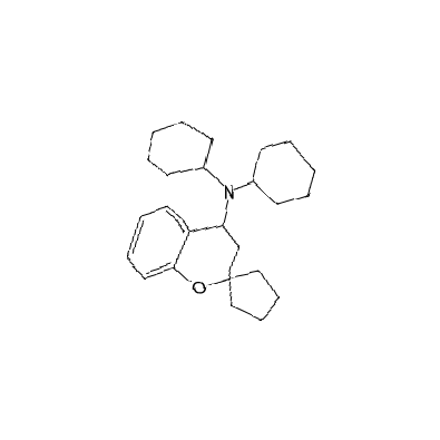 c1ccc2c(c1)OC1(CCCC1)CC2N(C1CCCCC1)C1CCCCC1